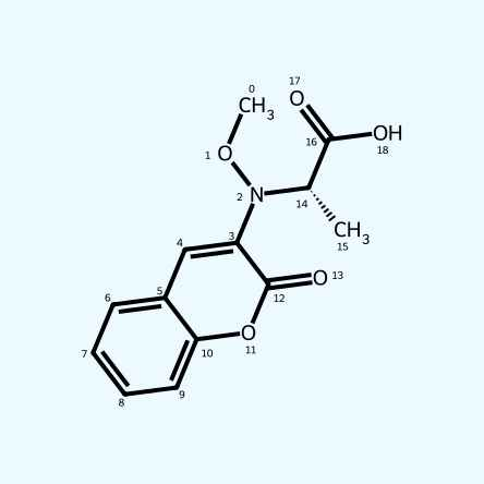 CON(c1cc2ccccc2oc1=O)[C@@H](C)C(=O)O